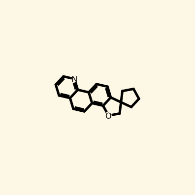 c1cnc2c(c1)ccc1c3c(ccc12)C1(CCCC1)CO3